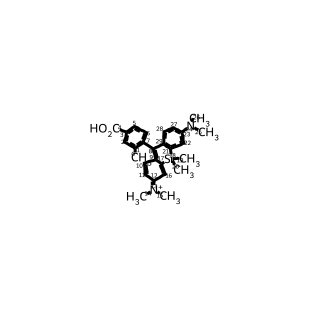 Cc1cc(C(=O)O)ccc1C1=C2C=CC(=[N+](C)C)C=C2[Si](C)(C)c2cc(N(C)C)ccc21